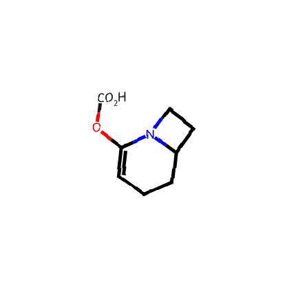 O=C(O)OC1=CCCC2CCN12